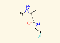 CCN[C@@H](C)C(=O)NCCF